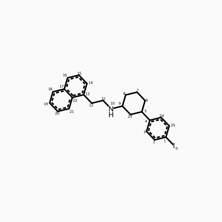 Ic1ccc(C2CCCC(NCCc3cccc4ccccc34)C2)cc1